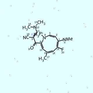 CNc1ccn(P)c(C(=O)/C(C#N)=C/N(C)C)cc(C)cc1F